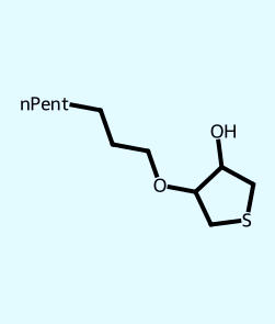 CCCCCCCCOC1CSCC1O